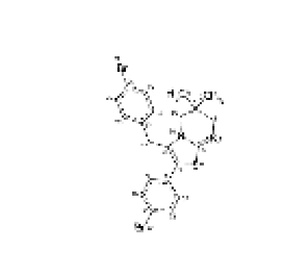 CC1(C)CN=C2SC(c3ccc(Br)cc3)=C(Cc3ccc(Br)cc3)N2C1